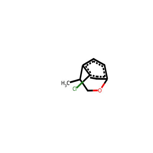 CC1COc2ccc1c(Cl)c2